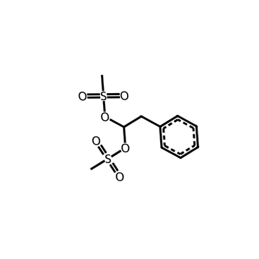 CS(=O)(=O)OC(Cc1ccccc1)OS(C)(=O)=O